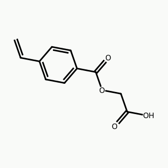 C=Cc1ccc(C(=O)OCC(=O)O)cc1